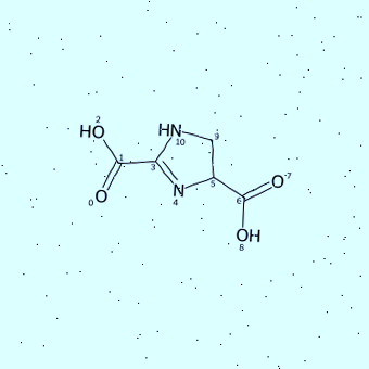 O=C(O)C1=NC(C(=O)O)CN1